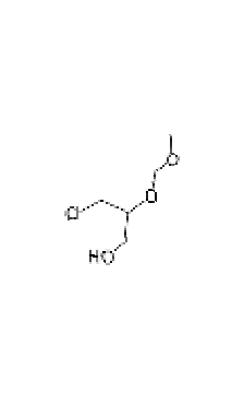 COCOC(CO)CCl